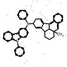 CC12C=c3ccccc3=C3C4=CCC(N(c5ccccc5)c5ccc6c(c5)c5ccccc5n6-c5ccccc5)C=C4C(CCC1)C32